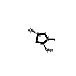 CN1C[C@@H](N)C[C@H]1C(=O)O